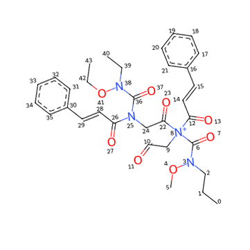 CCCN(OC)C(=O)[N+](C[C]=O)(C(=O)C=Cc1ccccc1)C(=O)CN(C(=O)C=Cc1ccccc1)C(=O)N(CC)OCC